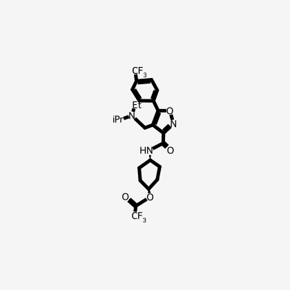 CCN(Cc1c(C(=O)N[C@H]2CC[C@H](OC(=O)C(F)(F)F)CC2)noc1-c1ccc(C(F)(F)F)cc1)C(C)C